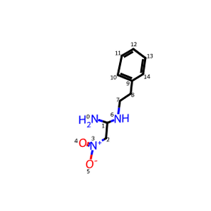 NC(C[N+](=O)[O-])NCCc1ccccc1